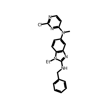 CCn1c(NCc2ccccc2)nc2cc(N(C)c3ccnc(Cl)n3)ccc21